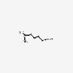 [CH2]CC(CCCC)CCCCCCCCCC